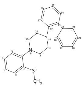 CSc1ccccc1N1CCC(c2ccccc2)(c2ccccc2)CC1